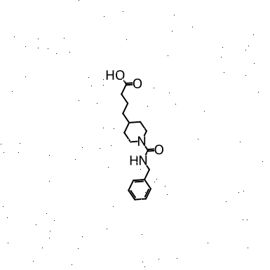 O=C(O)CCCC1CCN(C(=O)NCc2ccccc2)CC1